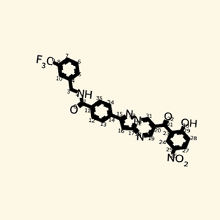 O=C(NCc1cccc(C(F)(F)F)c1)c1ccc(-c2cc3ncc(C(=O)c4cc([N+](=O)[O-])ccc4O)cn3n2)cc1